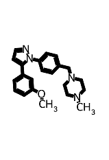 COc1cccc(-c2ccnn2-c2ccc(CN3CCN(C)CC3)cc2)c1